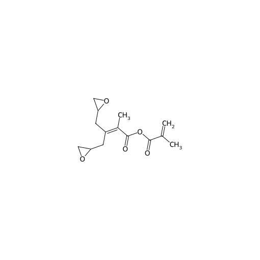 C=C(C)C(=O)OC(=O)C(C)=C(CC1CO1)CC1CO1